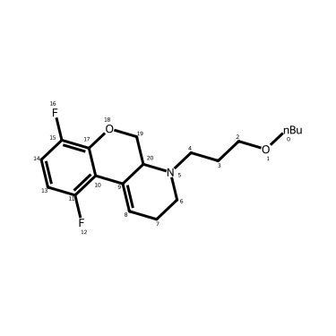 CCCCOCCCN1CCC=C2c3c(F)ccc(F)c3OCC21